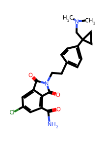 CN(C)CC1(c2ccc(CCN3C(=O)c4cc(Cl)cc(C(N)=O)c4C3=O)cc2)CC1